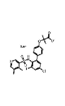 Cc1cncc(S(=O)(=O)Nc2c(F)cc(Cl)cc2-c2ccc(OC(C)(C)C(=O)[O-])cc2)c1C.[Na+]